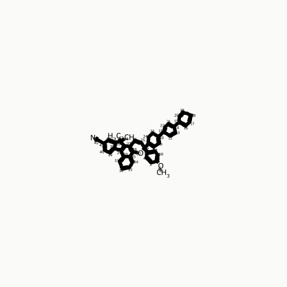 COc1ccc(C2(C3=CC=C(c4ccc(-c5ccccc5)cc4)CC3)C=Cc3c4c(c5ccccc5c3O2)-c2ccc(C#N)cc2C4(C)C)cc1